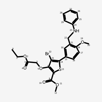 CCOC(=O)COc1c(C(=O)OC)sc(-c2ccc(OC)c(CNc3ccccc3)c2)c1Br